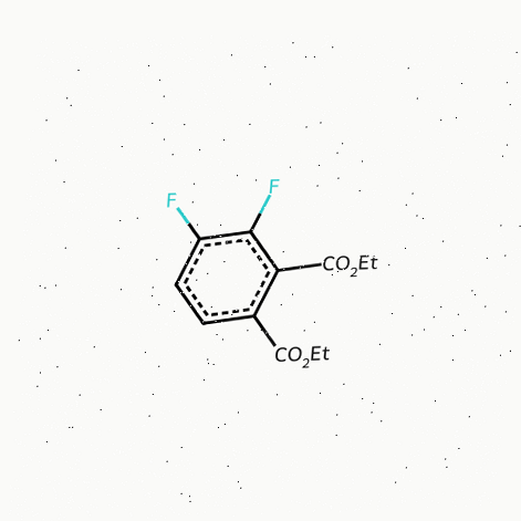 CCOC(=O)c1ccc(F)c(F)c1C(=O)OCC